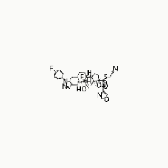 C[C@]12Cc3cnn(-c4ccc(F)cc4)c3C=C1CC[C@H]1[C@@H]3CC[C@](OC(=O)c4cocn4)(C(=O)SCC#N)[C@@]3(C)C[C@H](O)[C@@]12F